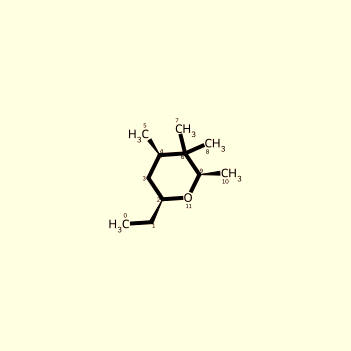 CC[C@H]1C[C@@H](C)C(C)(C)[C@@H](C)O1